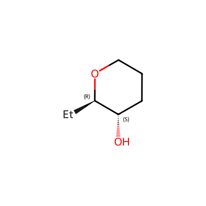 CC[C@H]1OCCC[C@@H]1O